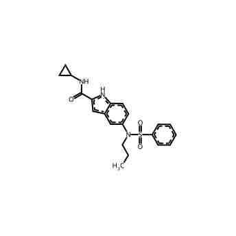 CCCN(c1ccc2[nH]c(C(=O)NC3CC3)cc2c1)S(=O)(=O)c1ccccc1